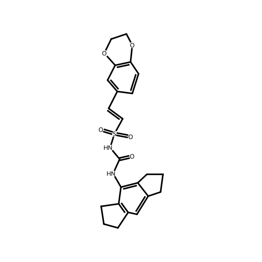 O=C(Nc1c2c(cc3c1CCC3)CCC2)NS(=O)(=O)/C=C/c1ccc2c(c1)OCCO2